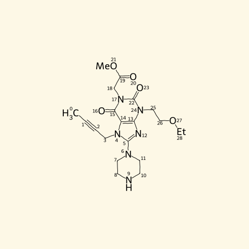 CC#CCn1c(N2CCNCC2)nc2c1c(=O)n(CC(=O)OC)c(=O)n2CCOCC